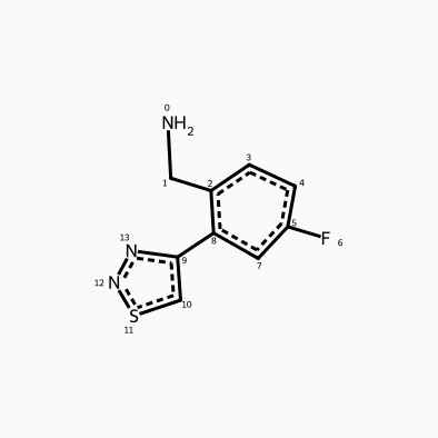 NCc1ccc(F)cc1-c1csnn1